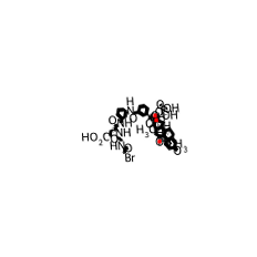 C[C@]12C=CC(=O)C=C1CC[C@@H]1[C@@H]2[C@@H](O)C[C@@]2(C)[C@H]1C[C@H]1O[C@@H](c3cccc(C(=O)Nc4cccc(NC(=O)[C@H](CCC(=O)O)NC(=O)CNC(=O)CBr)c4)c3)O[C@]12C(=O)COP(=O)(O)O